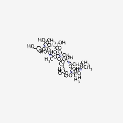 COC(C)/C=C/C(O)OC(C)/C(=C\C(O)OC(C)/C=C/C(O)OC(C)/C(OC1CCC(CO)CO1)=C(\OC1CCC(CO)O1)C(O)OC(C)/C=C/C(O)OC(C)/C(=C\C(O)OC)OC1CCC(CO)CO1)OC1CCC(CO)O1